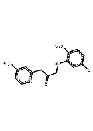 COc1ccc(Cl)cc1NCC(=O)Oc1cc(C(=O)O)ccn1